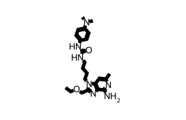 CCOCc1nc2c(N)nc(C)cc2n1CCCCNC(=O)Nc1ccc(N(C)C)cc1